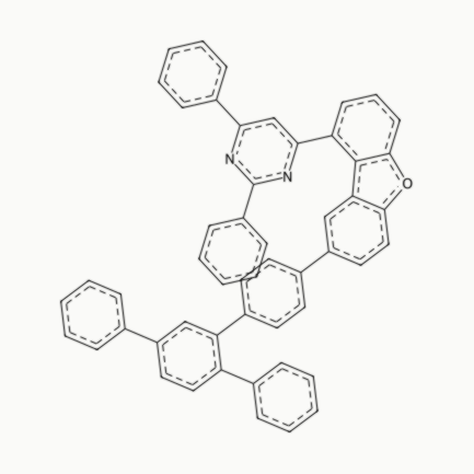 c1ccc(-c2ccc(-c3ccccc3)c(-c3ccc(-c4ccc5oc6cccc(-c7cc(-c8ccccc8)nc(-c8ccccc8)n7)c6c5c4)cc3)c2)cc1